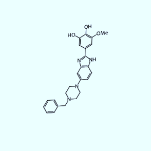 COc1cc(-c2nc3cc(N4CCN(Cc5ccccc5)CC4)ccc3[nH]2)cc(O)c1O